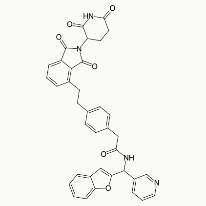 O=C1CCC(N2C(=O)c3cccc(CCc4ccc(CC(=O)NC(c5cccnc5)c5cc6ccccc6o5)cc4)c3C2=O)C(=O)N1